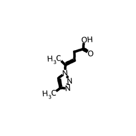 C/C(=C\CC(=O)O)n1cc(C)nn1